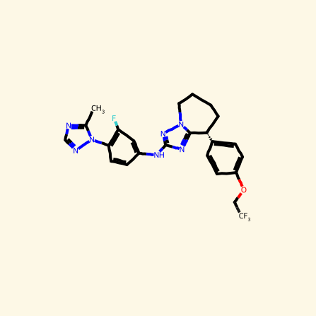 Cc1ncnn1-c1ccc(Nc2nc3n(n2)CCCC[C@@H]3c2ccc(OCC(F)(F)F)cc2)cc1F